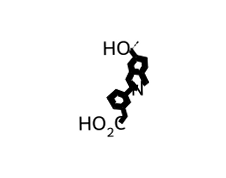 C[C@@H](O)c1ccc2cnc(-c3cccc(CC(=O)O)c3)cc2c1